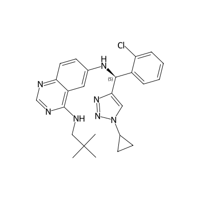 CC(C)(C)CNc1ncnc2ccc(N[C@H](c3cn(C4CC4)nn3)c3ccccc3Cl)cc12